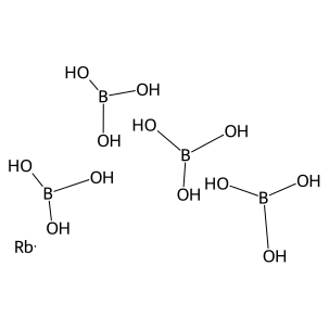 OB(O)O.OB(O)O.OB(O)O.OB(O)O.[Rb]